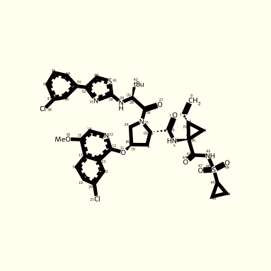 C=C[C@@H]1C[C@]1(NC(=O)[C@@H]1C[C@@H](Oc2ncc(OC)c3ccc(Cl)cc23)CN1C(=O)[C@@H](Nc1nc(-c2cccc(Cl)c2)cs1)C(C)(C)C)C(=O)NS(=O)(=O)C1CC1